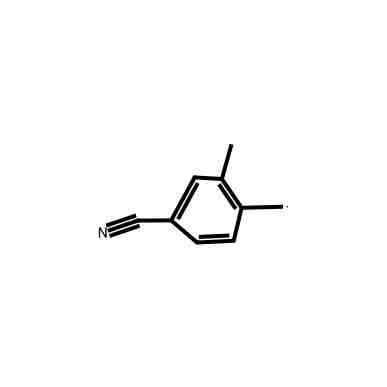 [CH2]c1ccc(C#N)cc1C